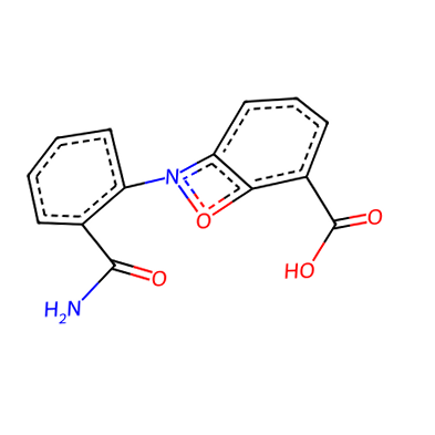 NC(=O)c1ccccc1-n1oc2c(C(=O)O)cccc21